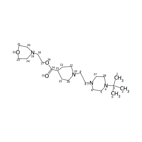 CC(C)(C)N1CCN(CCN2CCC(C(=O)OCCN3CCOCC3)CC2)CC1